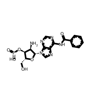 N[C@@H]1[C@H](O[PH](=O)O)[C@@H](CO)O[C@H]1n1cnc2c(NC(=O)c3ccccc3)ncnc21